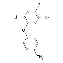 Cc1ccc(Oc2cc(Br)c(F)cc2Cl)cc1